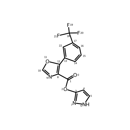 O=C(Oc1cc[nH]n1)c1ncoc1-c1cccc(C(F)(F)F)c1